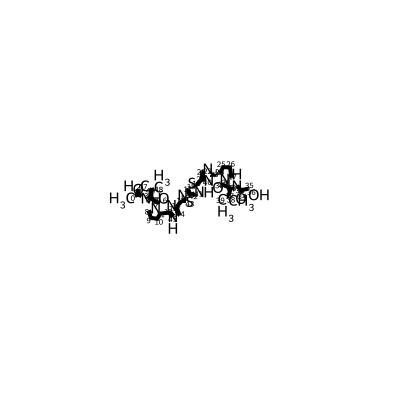 CC(=O)N[C@H](C(=O)N1CCCC1c1nc(-c2nc3sc(-c4cnc([C@@H]5CCCN5C(=O)[C@@H](NC(=O)CO)C(C)C)[nH]4)nc3s2)c[nH]1)C(C)C